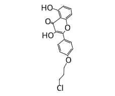 O=c1c(O)c(-c2ccc(OCCCCl)cc2)oc2cccc(O)c12